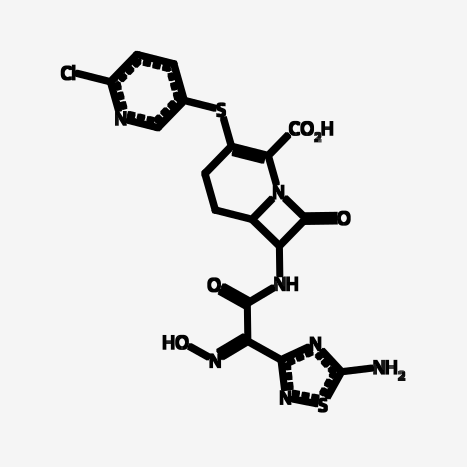 Nc1nc(/C(=N/O)C(=O)NC2C(=O)N3C(C(=O)O)=C(Sc4ccc(Cl)nc4)CCC23)ns1